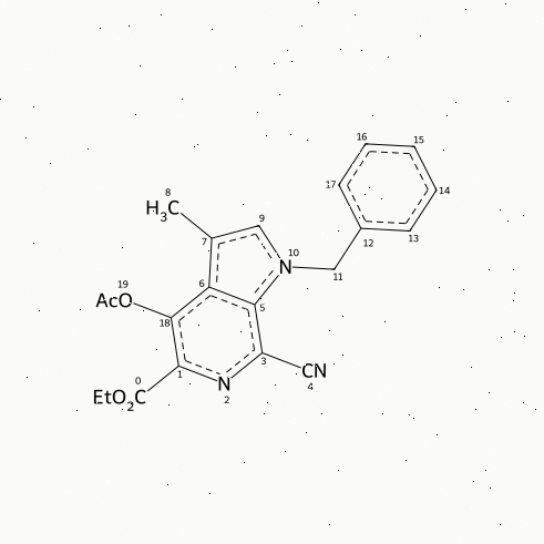 CCOC(=O)c1nc(C#N)c2c(c(C)cn2Cc2ccccc2)c1OC(C)=O